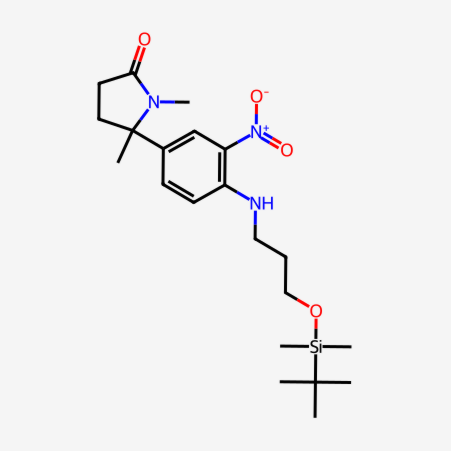 CN1C(=O)CCC1(C)c1ccc(NCCCO[Si](C)(C)C(C)(C)C)c([N+](=O)[O-])c1